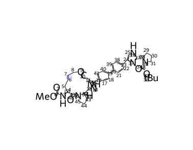 COC(=O)N[C@H]1C/C=C/COCc2[nH]c(nc2-c2ccc(-c3ccc(-c4c[nH]c([C@@H]5CCCN5C(=O)OC(C)(C)C)n4)cc3)cc2)[C@@H]2CCCN2C1=O